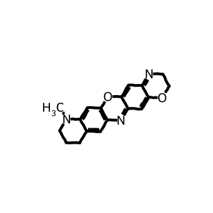 CN1CCCc2cc3c(cc21)Oc1cc2c(cc1=N3)OCCN=2